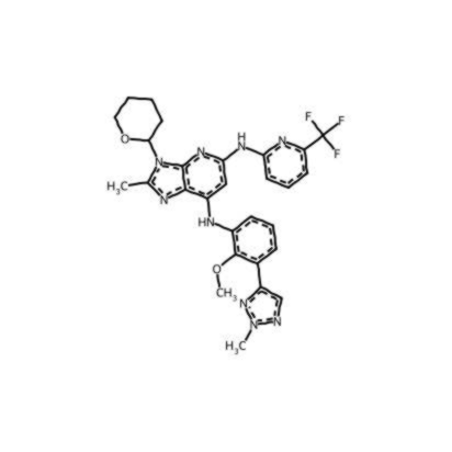 COc1c(Nc2cc(Nc3cccc(C(F)(F)F)n3)nc3c2nc(C)n3C2CCCCO2)cccc1-c1cnn(C)n1